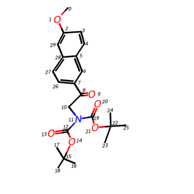 COc1ccc2cc(C(=O)CN(C(=O)OC(C)(C)C)C(=O)OC(C)(C)C)ccc2c1